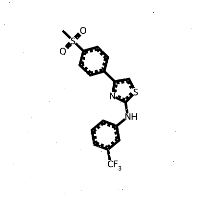 CS(=O)(=O)c1ccc(-c2csc(Nc3cccc(C(F)(F)F)c3)n2)cc1